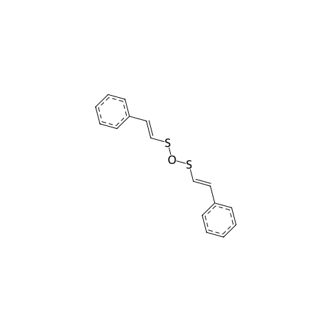 C(=Cc1ccccc1)SOSC=Cc1ccccc1